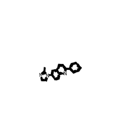 Cc1nccn1-c1ccc2nc(-c3ccccc3)ccc2c1